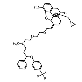 CN(CCOCCOC/C=C1/CC[C@@]2(O)[C@H]3Cc4ccc(O)c5c4[C@@]2(CCN3CC2CC2)C1O5)CCC(Oc1ccc(C(F)(F)F)cc1)c1ccccc1